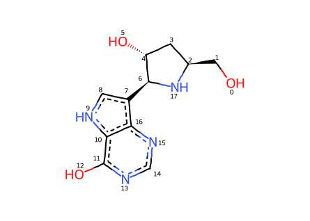 OC[C@@H]1C[C@@H](O)[C@H](c2c[nH]c3c(O)ncnc23)N1